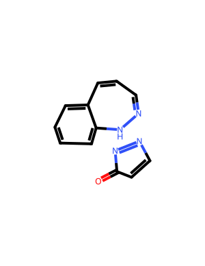 C1=Cc2ccccc2NN=C1.O=C1C=CN=N1